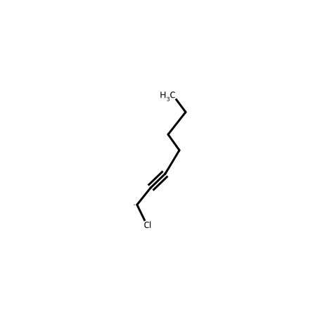 CCCCC#C[CH]Cl